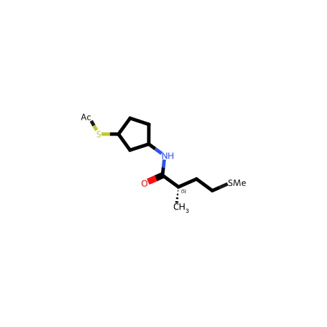 CSCC[C@H](C)C(=O)NC1CCC(SC(C)=O)C1